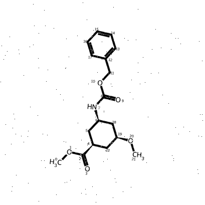 COC(=O)[C@H]1C[C@@H](NC(=O)OCc2ccccc2)C[C@@H](OC)C1